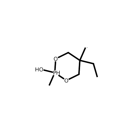 [CH2]C1(CC)CO[PH](C)(O)OC1